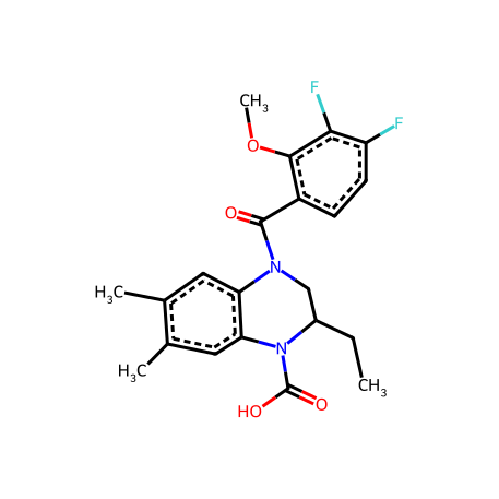 CCC1CN(C(=O)c2ccc(F)c(F)c2OC)c2cc(C)c(C)cc2N1C(=O)O